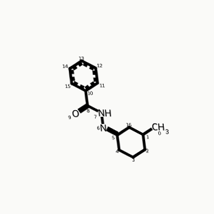 CC1CCCC(=NNC(=O)c2ccccc2)C1